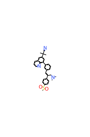 CN(C)C/C(=C\c1cccc(-c2cc(C(C)(C)C#N)cc3cccnc23)c1)c1ccc(S(C)(=O)=O)cc1